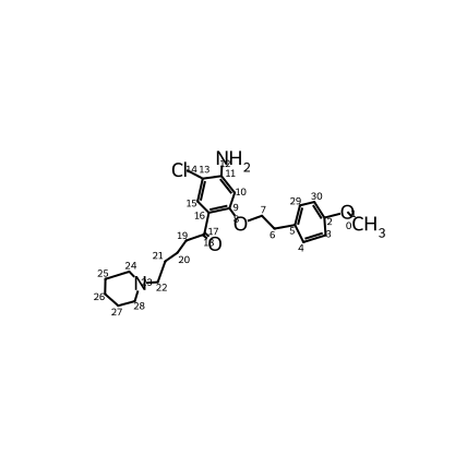 COc1ccc(CCOc2cc(N)c(Cl)cc2C(=O)CCCCN2CCCCC2)cc1